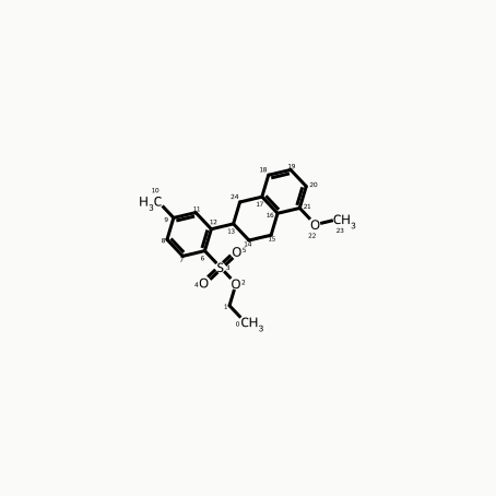 CCOS(=O)(=O)c1ccc(C)cc1C1CCc2c(cccc2OC)C1